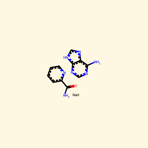 NC(=O)c1ccccn1.Nc1ncnc2[nH]cnc12.[NaH]